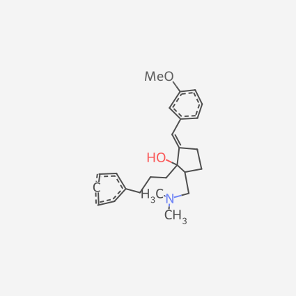 COc1cccc(/C=C2\CCC(CN(C)C)C2(O)CCCc2ccccc2)c1